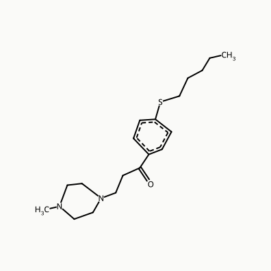 CCCCCSc1ccc(C(=O)CCN2CCN(C)CC2)cc1